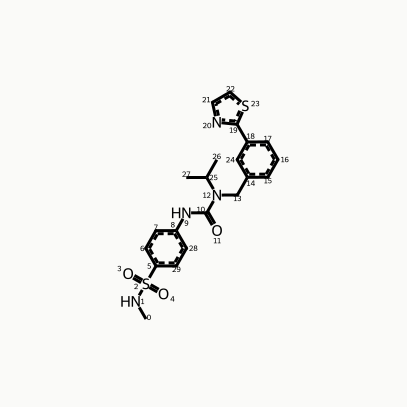 CNS(=O)(=O)c1ccc(NC(=O)N(Cc2cccc(-c3nccs3)c2)C(C)C)cc1